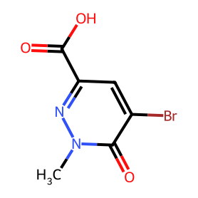 Cn1nc(C(=O)O)cc(Br)c1=O